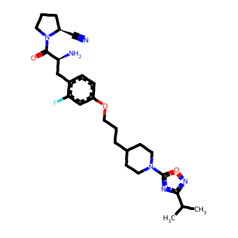 CC(C)c1noc(N2CCC(CCCOc3ccc(C[C@H](N)C(=O)N4CCC[C@H]4C#N)c(F)c3)CC2)n1